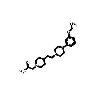 CCOc1cccc(N2CCN(CCC3CCN(CC(C)=O)CC3)CC2)c1